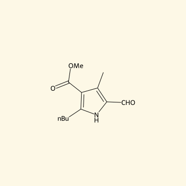 CCCCc1[nH]c(C=O)c(C)c1C(=O)OC